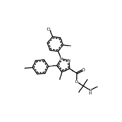 CNC(C)(C)OC(=O)c1nn(-c2ccc(Cl)cc2C)c(-c2ccc(C)cc2)c1C